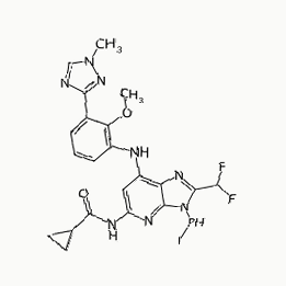 COc1c(Nc2cc(NC(=O)C3CC3)nc3c2nc(C(F)F)n3PI)cccc1-c1ncn(C)n1